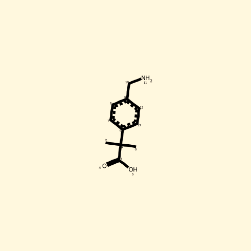 CC(C)(C(=O)O)c1ccc(CN)cc1